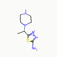 CC(c1nnc(N)s1)N1CCN(C)CC1